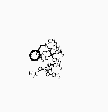 CN(Cc1ccccc1)[Si](C)(C)C(C)(C)C.CO[SiH](OC)OC